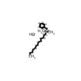 CCCCCCCCCCCCC[N+](C)(C)Cc1ccccc1.[OH-]